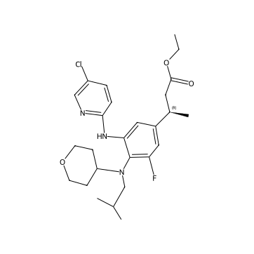 CCOC(=O)C[C@@H](C)c1cc(F)c(N(CC(C)C)C2CCOCC2)c(Nc2ccc(Cl)cn2)c1